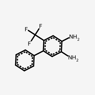 Nc1cc(-c2ccccc2)c(C(F)(F)F)cc1N